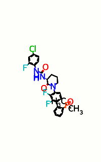 CP(C)(=O)c1ccccc1-c1ccc(N2CCC[C@@H](NC(=O)Nc3ccc(Cl)cc3F)C2=O)c(F)c1F